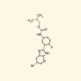 CC(C)COC(=O)Nc1ccc(F)c(-c2nc3cc(Br)cnc3[nH]2)c1